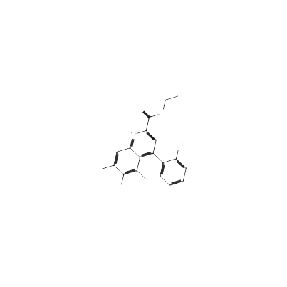 CCOC(=O)c1cc(-c2ccccc2Cl)c2c(C)c(Br)c(C)cc2n1